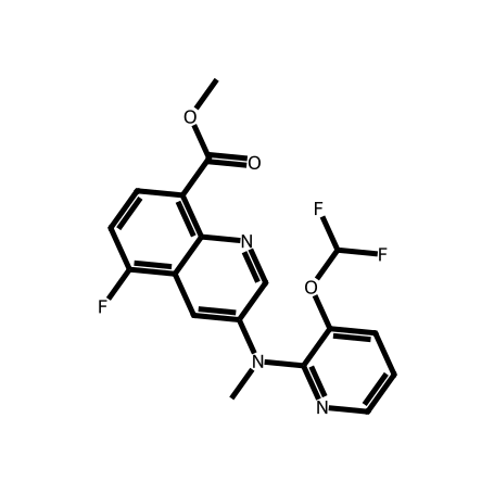 COC(=O)c1ccc(F)c2cc(N(C)c3ncccc3OC(F)F)cnc12